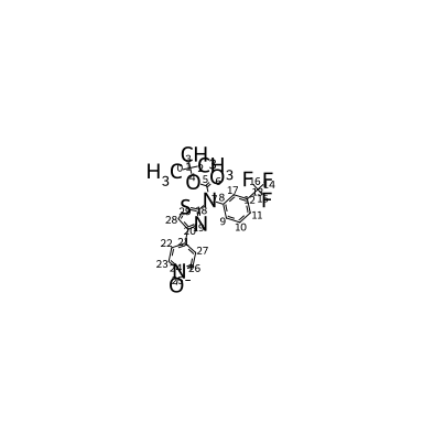 CC(C)(C)OC(=O)N(c1cccc(C(F)(F)F)c1)c1nc(-c2cc[n+]([O-])cc2)cs1